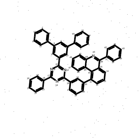 c1ccc(-c2cc(-c3ccccc3)cc(-c3nc(-c4ccccc4)nc(-c4cccc(-c5cccc6c(-c7ccccc7)nc7ccccc7c56)c4)n3)c2)cc1